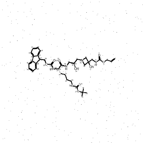 C=CCOC(=O)NCC1(O)CN(C[C@@H](O)CNC(=O)[C@H](CCCCNC(=O)OC(C)(C)C)NC(=O)OCC2c3ccccc3-c3ccccc32)C1